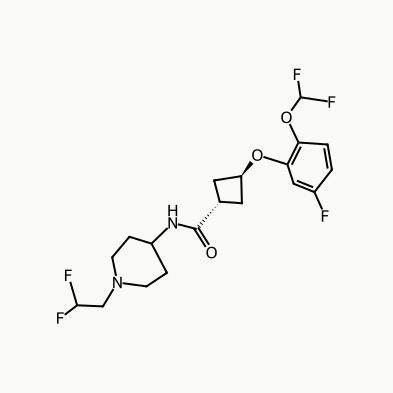 O=C(NC1CCN(CC(F)F)CC1)[C@H]1C[C@H](Oc2cc(F)ccc2OC(F)F)C1